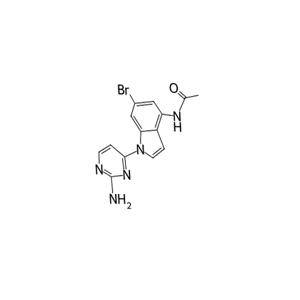 CC(=O)Nc1cc(Br)cc2c1ccn2-c1ccnc(N)n1